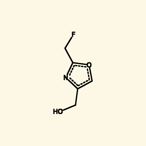 OCc1coc(CF)n1